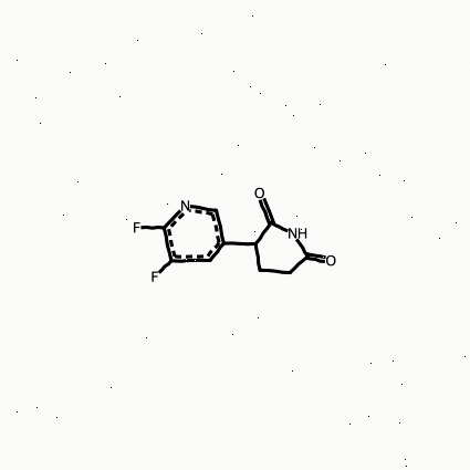 O=C1CCC(c2cnc(F)c(F)c2)C(=O)N1